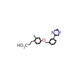 Cc1cc(OCc2cccc(-c3cnccn3)c2)ccc1CCC(=O)O